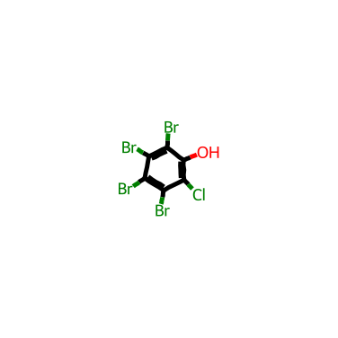 Oc1c(Cl)c(Br)c(Br)c(Br)c1Br